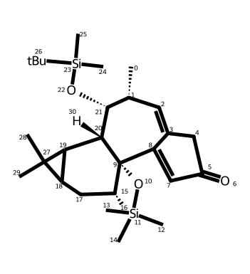 C[C@@H]1C=C2CC(=O)C=C2[C@@]2(O[Si](C)(C)C)[C@H](C)CC3C([C@@H]2[C@@H]1O[Si](C)(C)C(C)(C)C)C3(C)C